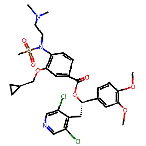 COc1ccc([C@H](Cc2c(Cl)cncc2Cl)OC(=O)c2ccc(N(CCN(C)C)S(C)(=O)=O)c(OCC3CC3)c2)cc1OC